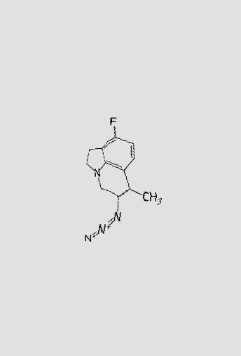 CC1c2ccc(F)c3c2N(CC3)CC1N=[N+]=[N-]